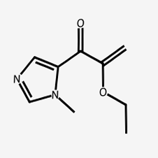 C=C(OCC)C(=O)c1cncn1C